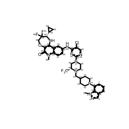 Cn1ncc2cccc(N3CCC(CN4CCN(c5ncc(Cl)c(Nc6ccc7c(c6)c6c(c(=O)n7C)OCC(F)(F)[C@H](C7CC7)N6)n5)C[C@H]4C(F)(F)F)CC3)c21